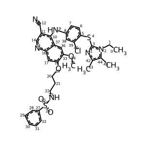 CCn1c(Sc2ccc(Nc3c(C#N)cnc4cc(OCCCNS(=O)(=O)c5ccccc5)c(OC)cc34)cc2Cl)nc(C)c1C